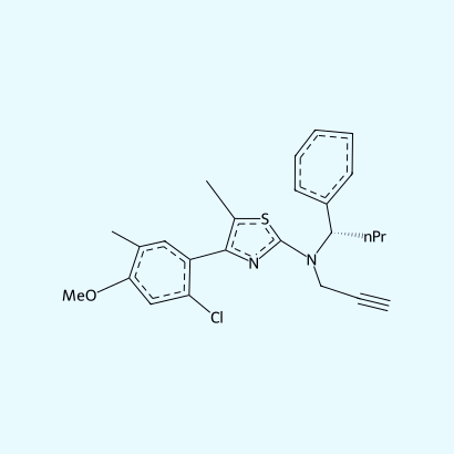 C#CCN(c1nc(-c2cc(C)c(OC)cc2Cl)c(C)s1)[C@@H](CCC)c1ccccc1